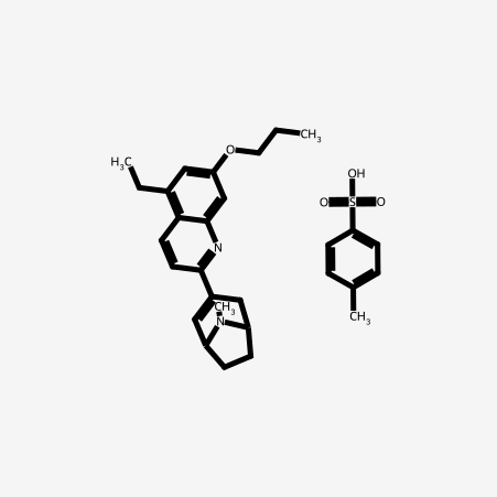 CCCOc1cc(CC)c2ccc(C3=CC4CCC(C3)N4C)nc2c1.Cc1ccc(S(=O)(=O)O)cc1